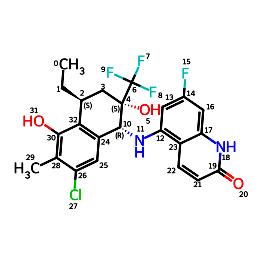 CC[C@H]1C[C@@](O)(C(F)(F)F)[C@H](Nc2cc(F)cc3[nH]c(=O)ccc23)c2cc(Cl)c(C)c(O)c21